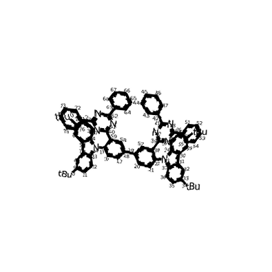 CC(C)(C)c1ccc2c(c1)c1cc(C(C)(C)C)ccc1n2-c1ccc(-c2ccc(-n3c4ccc(C(C)(C)C)cc4c4cc(C(C)(C)C)ccc43)c(-c3nc(-c4ccccc4)nc(-c4ccccc4)n3)c2)cc1-c1nc(-c2ccccc2)nc(-c2ccccc2)n1